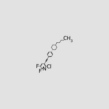 CCCCC[C@H]1CC[C@H](c2ccc(C#Cc3cc(F)c(F)nc3Cl)cc2)CC1